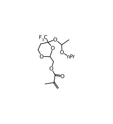 C=C(C)C(=O)OCC1OCCC(OC(C)OCCC)(C(F)(F)F)O1